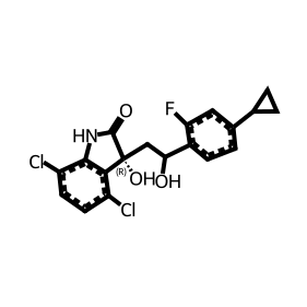 O=C1Nc2c(Cl)ccc(Cl)c2[C@]1(O)CC(O)c1ccc(C2CC2)cc1F